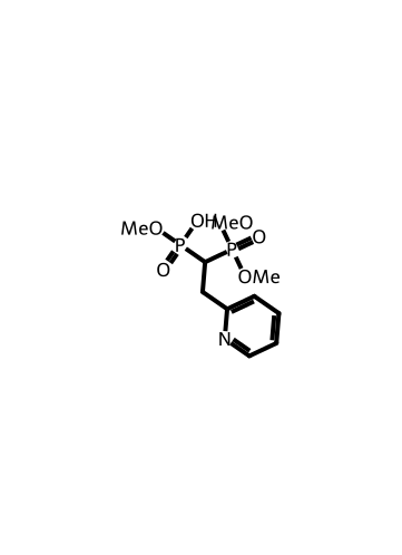 COP(=O)(O)C(Cc1ccccn1)P(=O)(OC)OC